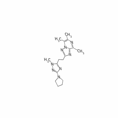 Cc1nc(C)c2nc(CCc3nc(N4CCCC4)nn3C)nn2c1C